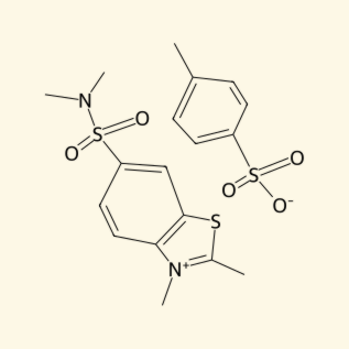 Cc1ccc(S(=O)(=O)[O-])cc1.Cc1sc2cc(S(=O)(=O)N(C)C)ccc2[n+]1C